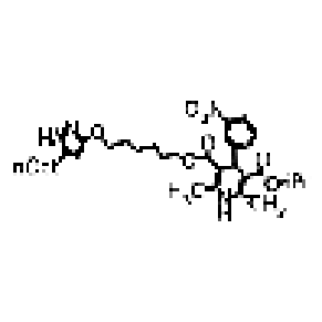 CCCCCCCCc1cc(OCCCCCCOC(=O)C2=C(C)NC(C)=C(C(=O)OC(C)C)C2c2cccc([N+](=O)[O-])c2)n[nH]1